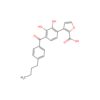 CCCCc1ccc(C(=O)c2ccc(-c3ccoc3C(=O)O)c(O)c2O)cc1